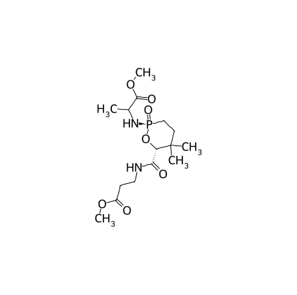 COC(=O)CCNC(=O)[C@@H]1O[P@@](=O)(NC(C)C(=O)OC)CCC1(C)C